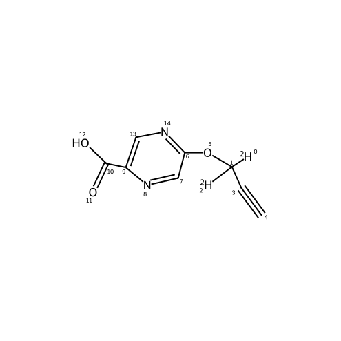 [2H]C([2H])(C#C)Oc1cnc(C(=O)O)cn1